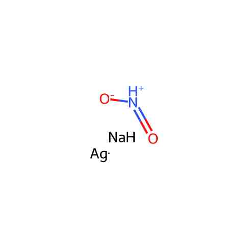 O=[NH+][O-].[Ag].[NaH]